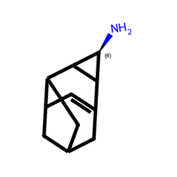 N[C@H]1C2C3=CC4CC(C3)CC4C21